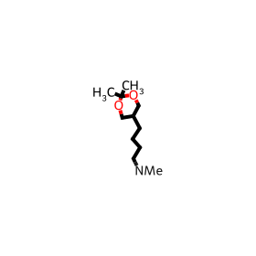 CNCCCCC1COC(C)(C)OC1